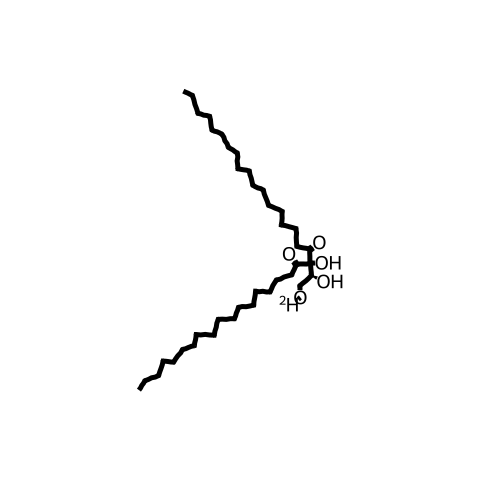 [2H]OC[C@H](O)C(O)(C(=O)CCCCCCCCCCCCCCCCC)C(=O)CCCCCCCCCCCCCCCCC